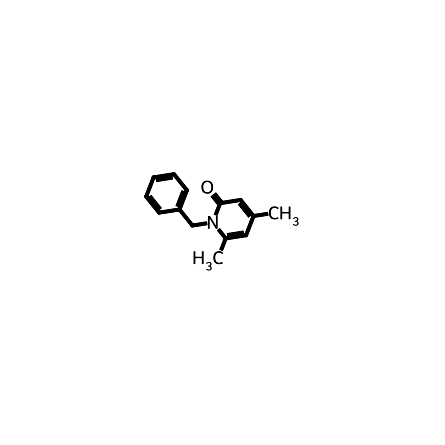 Cc1cc(C)n(Cc2ccccc2)c(=O)c1